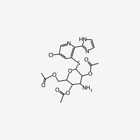 CC(=O)OCC1OC(Sc2cc(Cl)cnc2-c2ncc[nH]2)C(OC(C)=O)C(N)C1OC(C)=O